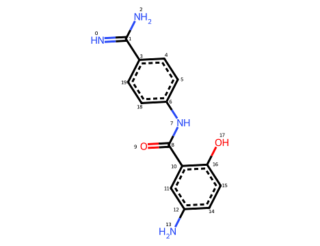 N=C(N)c1ccc(NC(=O)c2cc(N)ccc2O)cc1